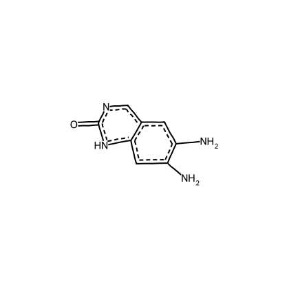 Nc1cc2cnc(=O)[nH]c2cc1N